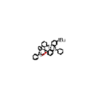 CC(C)(C)c1ccc2c(c1)B(c1ccccc1)c1cccc3c1N2c1ccccc1C31c2ccccc2N(c2ccccc2)c2ccccc21